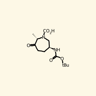 C[C@H]1C(=O)CC[C@H](NC(=O)OC(C)(C)C)CN1C(=O)O